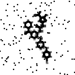 CC(=O)c1sc(NC(=O)N[C@H]2CN(C(=O)C3CCCCC3)CC[C@H]2CN2CCC[C@@H](Cc3ccc(F)cc3)C2)nc1C